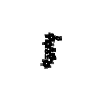 Cc1ccc(C#N)cc1-c1ccnc(NC(=O)c2nnc(Cc3ccccc3)[nH]2)c1